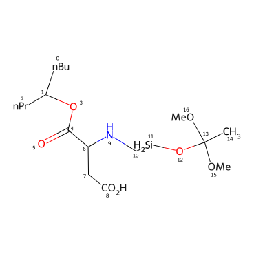 CCCCC(CCC)OC(=O)C(CC(=O)O)NC[SiH2]OC(C)(OC)OC